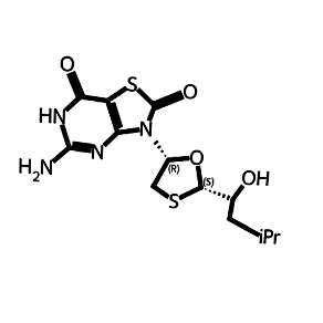 CC(C)CC(O)[C@H]1O[C@@H](n2c(=O)sc3c(=O)[nH]c(N)nc32)CS1